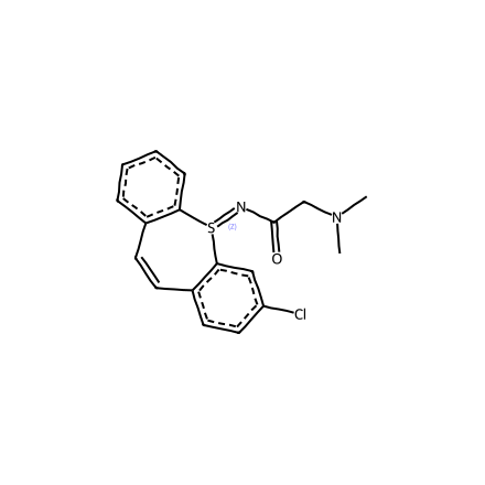 CN(C)CC(=O)/N=S1/c2ccccc2C=Cc2ccc(Cl)cc21